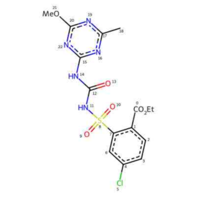 CCOC(=O)c1ccc(Cl)cc1S(=O)(=O)NC(=O)Nc1nc(C)nc(OC)n1